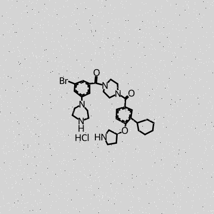 Cl.O=C(c1cc(Br)cc(N2CCNCC2)c1)N1CCN(C(=O)c2ccc(O[C@H]3CCNC3)c(C3CCCCC3)c2)CC1